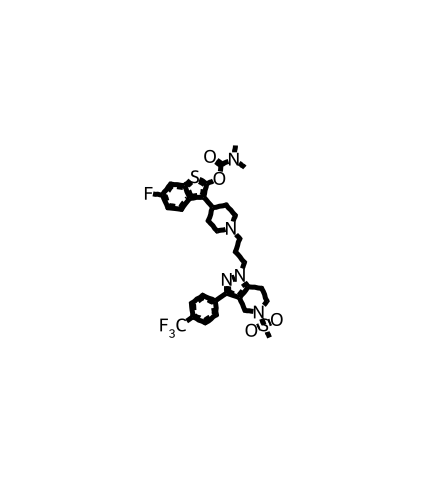 CN(C)C(=O)Oc1sc2cc(F)ccc2c1C1CCN(CCCn2nc(-c3ccc(C(F)(F)F)cc3)c3c2CCN(S(C)(=O)=O)C3)CC1